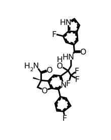 C[C@]1(C(N)=O)COc2c1cc(C(O)(CNC(=O)c1cc(F)c3[nH]ccc3c1)C(F)(F)F)nc2-c1ccc(F)cc1